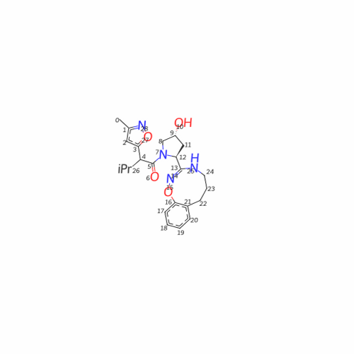 Cc1cc(C(C(=O)N2C[C@H](O)C[C@H]2/C2=N/Oc3ccccc3CCCN2)C(C)C)on1